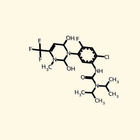 CC(C)N(C(=O)Nc1cc(N2C(O)C=C(C(F)(F)F)N(C)C2O)c(F)cc1Cl)C(C)C